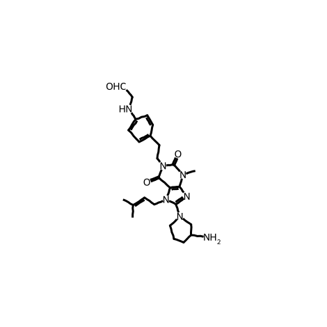 CC(C)=CCn1c(N2CCCC(N)C2)nc2c1c(=O)n(CCc1ccc(NCC=O)cc1)c(=O)n2C